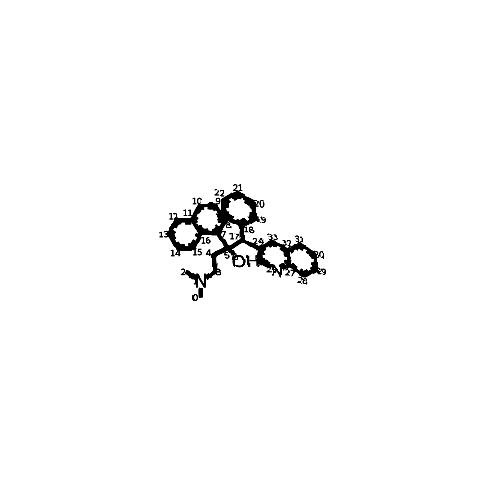 CN(C)CCC(O)(c1cccc2ccccc12)C(c1ccccc1)c1cnc2ccccc2c1